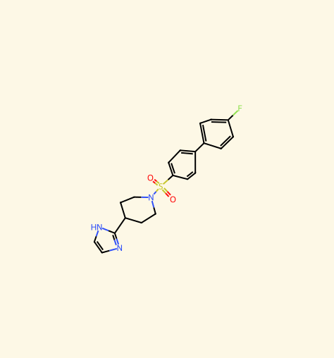 O=S(=O)(c1ccc(-c2ccc(F)cc2)cc1)N1CCC(c2ncc[nH]2)CC1